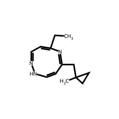 CCc1ccn[nH]ccc(CC2(C)CC2)n1